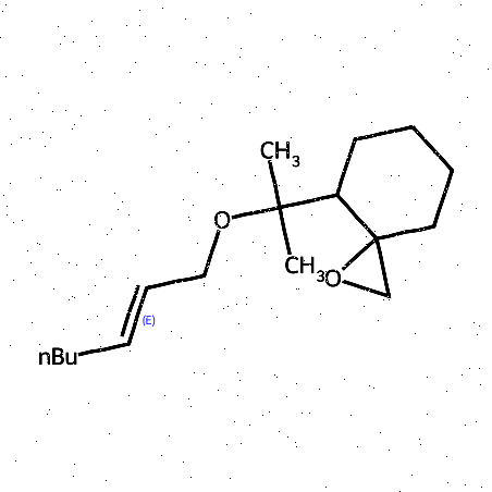 CCCC/C=C/COC(C)(C)C1CCCCC12CO2